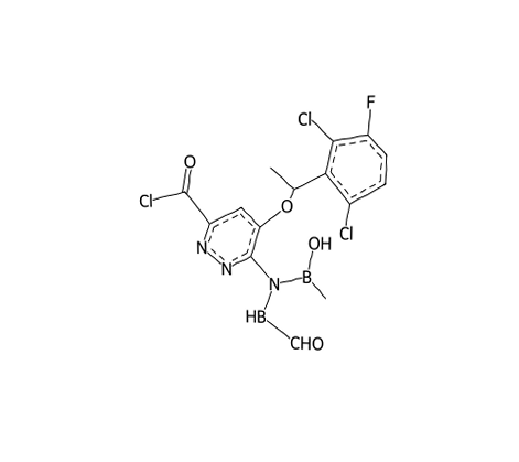 CB(O)N(BC=O)c1nnc(C(=O)Cl)cc1OC(C)c1c(Cl)ccc(F)c1Cl